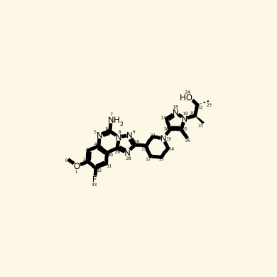 COc1cc2nc(N)n3nc(C4CCCN(c5cnn([C@H](C)[C@@H](C)O)c5C)C4)nc3c2cc1F